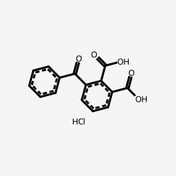 Cl.O=C(O)c1cccc(C(=O)c2ccccc2)c1C(=O)O